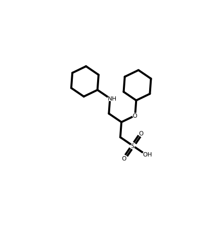 O=S(=O)(O)CC(CNC1CCCCC1)OC1CCCCC1